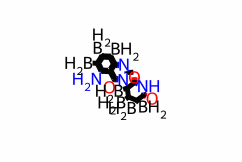 Bc1c(B)c(N)c2c(=O)n(C3(B)C(=O)NC(=O)C(B)(B)C3B)c(C)nc2c1B